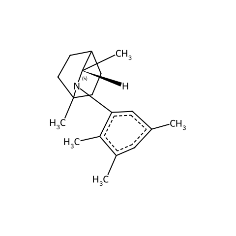 Cc1cc(C)c(C)c(N2[C@@H](C)C3CCC2(C)CC3)c1